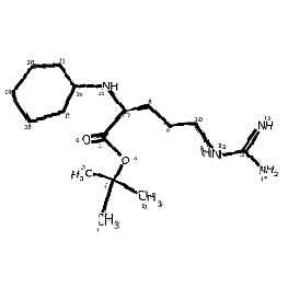 CC(C)(C)OC(=O)[C@H](CCCNC(=N)N)NC1CCCCC1